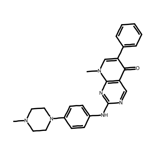 CN1CCN(c2ccc(Nc3ncc4c(=O)c(-c5ccccc5)cn(C)c4n3)cc2)CC1